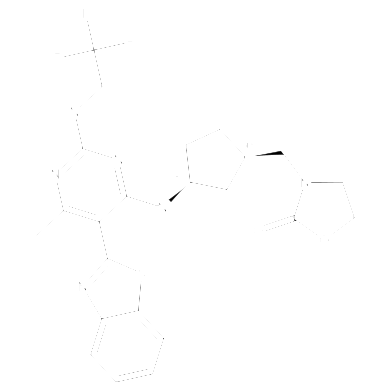 Cc1nc(NCC(F)(F)F)nc(N[C@H]2CC[C@@H](CN3CCOC3=O)C2)c1-c1nc2ccccc2s1